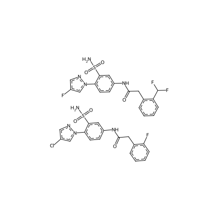 NS(=O)(=O)c1cc(NC(=O)Cc2ccccc2C(F)F)ccc1-n1cc(F)cn1.NS(=O)(=O)c1cc(NC(=O)Cc2ccccc2F)ccc1-n1cc(Cl)cn1